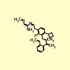 C=Cc1ccccc1C(=C)N(C)Cc1c(C2CCC2)ccc(C/C=N\C(N)=C/N=C)c1F